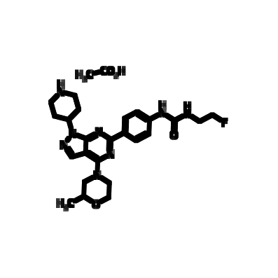 CC(=O)O.CC1CN(c2nc(-c3ccc(NC(=O)NCCF)cc3)nc3c2cnn3C2CCNCC2)CCO1